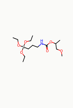 CCO[Si](CCCNC(=O)OC(C)COC)(OCC)OCC